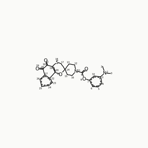 CN(C)c1cccc(OC(=O)N2CCC3(CC2)CSC2=C(O3)c3ccccc3C(=O)C2=O)c1